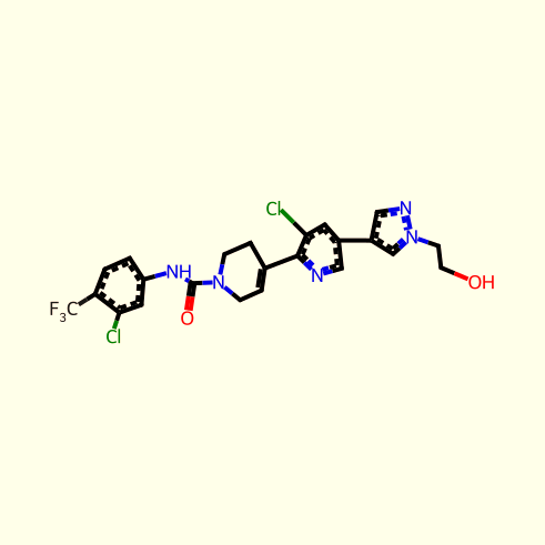 O=C(Nc1ccc(C(F)(F)F)c(Cl)c1)N1CC=C(c2ncc(-c3cnn(CCO)c3)cc2Cl)CC1